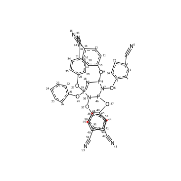 N#Cc1ccc(ON2P(Oc3ccc(C#N)cc3)N=P(Oc3ccccc3)(Oc3ccc(C#N)cc3)N(Oc3ccc(C#N)cc3)P2Oc2ccc(C#N)cc2)cc1